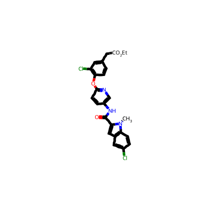 CCOC(=O)Cc1ccc(Oc2ccc(NC(=O)c3cc4cc(Cl)ccc4n3C)cn2)c(Cl)c1